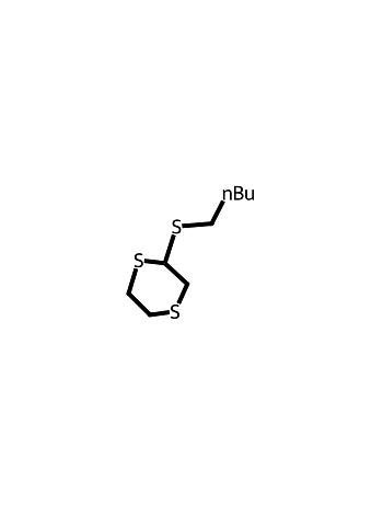 CCCCCSC1CSCCS1